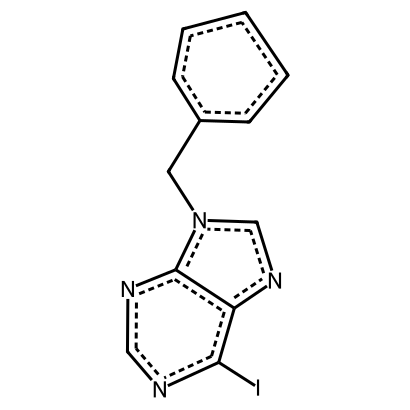 Ic1ncnc2c1ncn2Cc1ccccc1